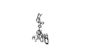 Nc1ncc(-c2ccc(C(=O)N3CCCNCC3)cc2)nc1C(=O)Nc1ccccc1